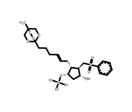 CC[Si](CC)(CC)O[C@H]1C[C@@H](O)[C@H](CS(=O)(=O)c2ccccc2)[C@H]1CC=CCCCC12OCC(C)(CO1)CO2